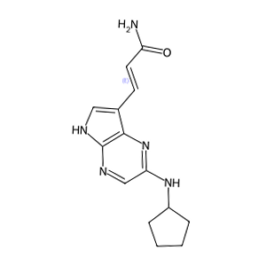 NC(=O)/C=C/c1c[nH]c2ncc(NC3CCCC3)nc12